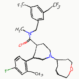 Cc1cc(F)ccc1C1CN(C2CCOCC2)CCC1C(=O)N(C)Cc1cc(C(F)(F)F)cc(C(F)(F)F)c1